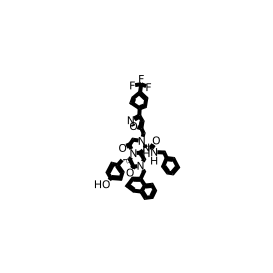 O=C1[C@H](Cc2ccc(O)cc2)N2C(=O)CN(Cc3cc(-c4ccc(C(F)(F)F)cc4)no3)N(C(=O)NCc3ccccc3)[C@H]2CN1Cc1cccc2ccccc12